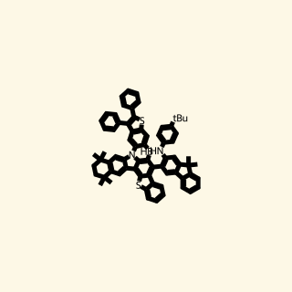 CC(C)(C)c1ccc(Nc2cc3c(cc2-c2c4c5c(c6cc7c(cc6n5-c5cc6c(-c8ccccc8)c(-c8ccccc8)sc6cc5B4)C(C)(C)CCC7(C)C)c4sc5ccccc5c24)-c2ccccc2C3(C)C)cc1